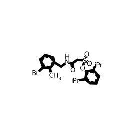 Cc1c(Br)cccc1CNC(=O)CS(=O)(=O)Oc1c(C(C)C)cccc1C(C)C